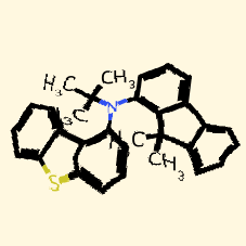 CC1(C)c2ccccc2-c2cccc(N(c3cccc4sc5ccccc5c34)C(C)(C)C)c21